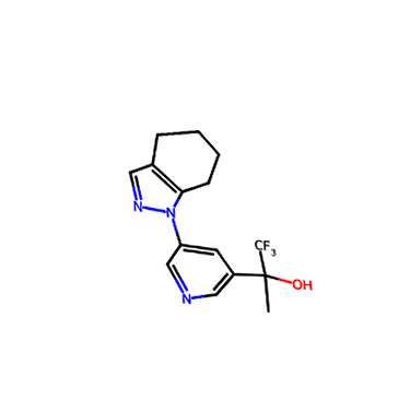 CC(O)(c1cncc(-n2ncc3c2CCCC3)c1)C(F)(F)F